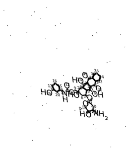 C[C@@H]1O[C@@H](O[C@H]2C[C@](O)(COC(=O)Nc3cccc(O)c3)Cc3c(O)c4c(c(O)c32)C(=O)c2ccccc2C4=O)C[C@H](N)[C@@H]1O